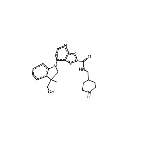 CC1(CO)CN(c2ncnc3sc(C(=O)NCC4CCNCC4)nc23)c2ccccc21